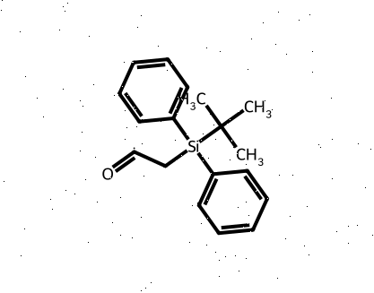 CC(C)(C)[Si](C[C]=O)(c1ccccc1)c1ccccc1